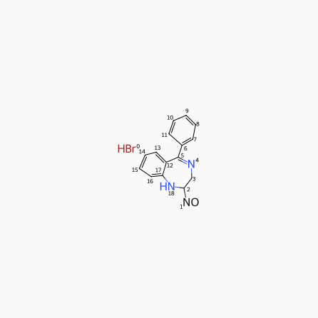 Br.O=NC1CN=C(c2ccccc2)c2ccccc2N1